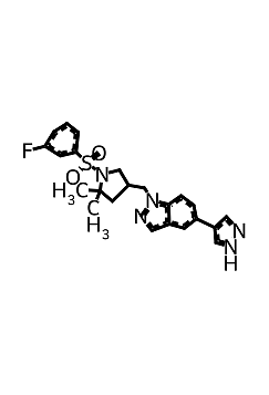 CC1(C)CC(Cn2ncc3cc(-c4cn[nH]c4)ccc32)CN1S(=O)(=O)c1cccc(F)c1